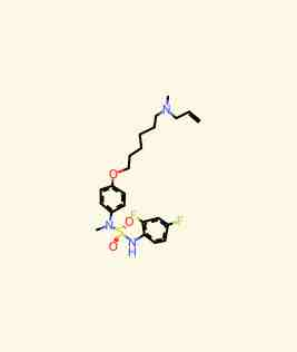 C=CCN(C)CCCCCCOc1ccc(N(C)S(=O)(=O)Nc2ccc(F)cc2F)cc1